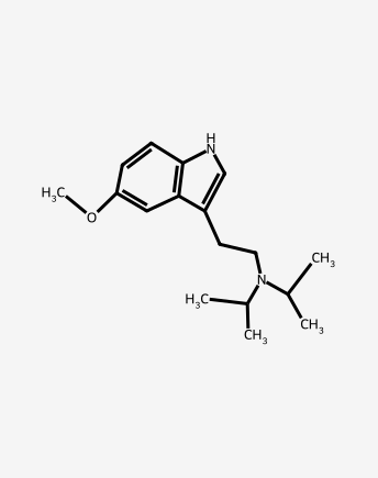 COc1ccc2[nH]cc(CCN(C(C)C)C(C)C)c2c1